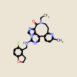 Cc1ccc2c(n1)CCN(CC(F)(F)F)C(=O)c1ncn3c(NCc4c(F)ccc5c4CCO5)ncc-2c13